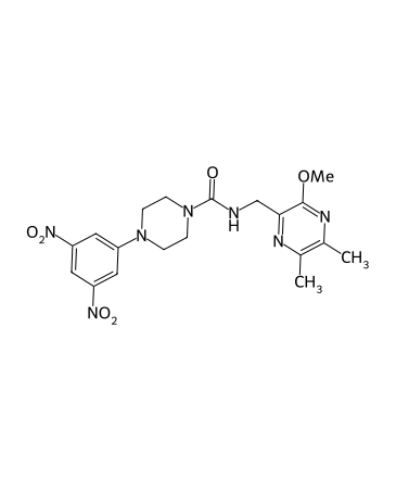 COc1nc(C)c(C)nc1CNC(=O)N1CCN(c2cc([N+](=O)[O-])cc([N+](=O)[O-])c2)CC1